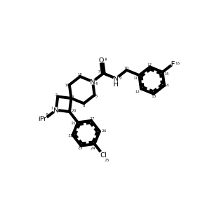 CC(C)N1CC2(CCN(C(=O)NCc3cccc(F)c3)CC2)C1c1ccc(Cl)cc1